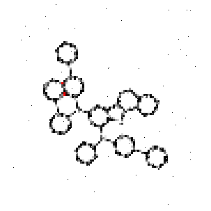 c1ccc(-c2ccc(N(c3cc(N(c4ccccc4)c4ccc(-c5ccccc5)cc4)c4oc5c6ccccc6ccc5c4c3)c3ccccc3-c3ccccc3)cc2)cc1